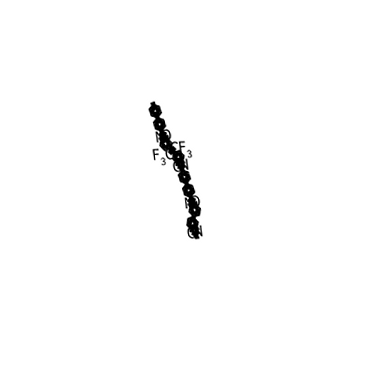 Cc1ccc(-c2ccc(-c3nc4ccc(C(c5ccc6nc(-c7ccc(-c8ccc(-c9nc%10cc(-c%11ccc%12oc(C)nc%12c%11)ccc%10o9)cc8)cc7)oc6c5)(C(F)(F)F)C(F)(F)F)cc4o3)cc2)cc1